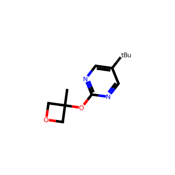 CC1(Oc2ncc(C(C)(C)C)cn2)COC1